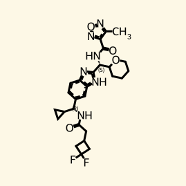 Cc1nonc1C(=O)N[C@@H](c1nc2ccc([C@H](NC(=O)CC3CC(F)(F)C3)C3CC3)cc2[nH]1)C1CCCCO1